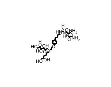 N=C(NCCCCc1ccc(OCCN(CCCC[C@H](O)CO)C[C@H](O)[C@@H](O)[C@H](O)[C@H](O)CO)cc1)NC(=O)c1nc(Cl)c(N)nc1N